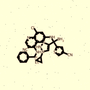 BC(Nc1cc(Cl)c2ncc(C#N)c(N[C@H](CC)c3ccccc3)c2c1)(C1=CN(C2CC2)NN1)c1cc(C#N)cs1